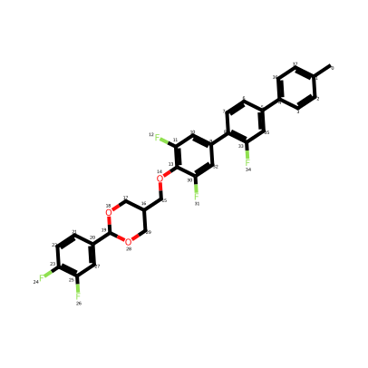 Cc1ccc(-c2ccc(-c3cc(F)c(OCC4COC(c5ccc(F)c(F)c5)OC4)c(F)c3)c(F)c2)cc1